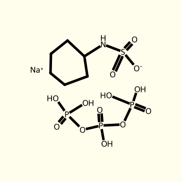 O=P(O)(O)OP(=O)(O)OP(=O)(O)O.O=S(=O)([O-])NC1CCCCC1.[Na+]